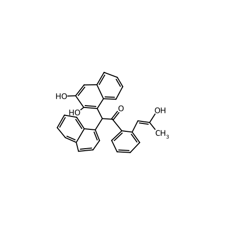 C/C(O)=C\c1ccccc1C(=O)C(c1cccc2ccccc12)c1c(O)c(O)cc2ccccc12